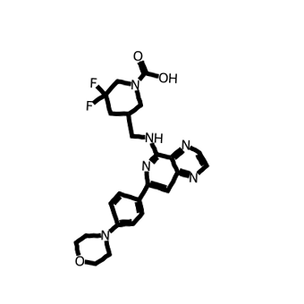 O=C(O)N1CC(CNc2nc(-c3ccc(N4CCOCC4)cc3)cc3nccnc23)CC(F)(F)C1